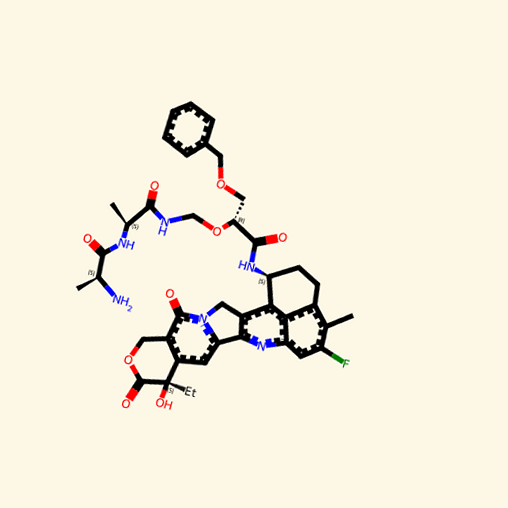 CC[C@@]1(O)C(=O)OCc2c1cc1n(c2=O)Cc2c-1nc1cc(F)c(C)c3c1c2[C@@H](NC(=O)[C@@H](COCc1ccccc1)OCNC(=O)[C@H](C)NC(=O)[C@H](C)N)CC3